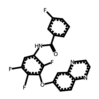 O=C(Nc1cc(F)c(F)c(Oc2ccc3nccnc3c2)c1F)c1cccc(F)c1